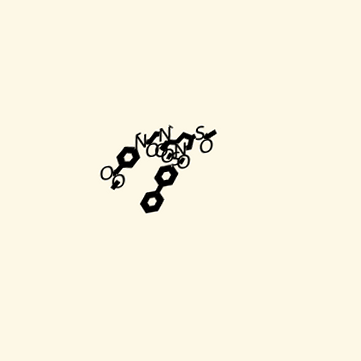 COC(=O)c1ccc(N(C)C(=O)CN(C)C(=O)C2CC(SC(C)=O)CN2S(=O)(=O)c2ccc(-c3ccccc3)cc2)cc1